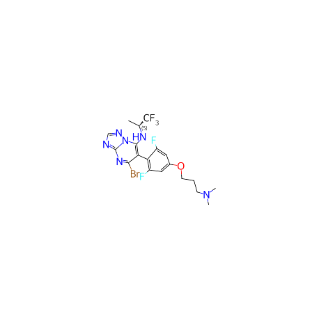 C[C@H](Nc1c(-c2c(F)cc(OCCCN(C)C)cc2F)c(Br)nc2ncnn12)C(F)(F)F